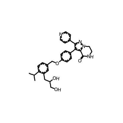 CC(C)c1ccc(COc2ccc(-c3c(-c4ccncc4)nn4c3C(=O)NCC4)cc2)cc1CC(O)CO